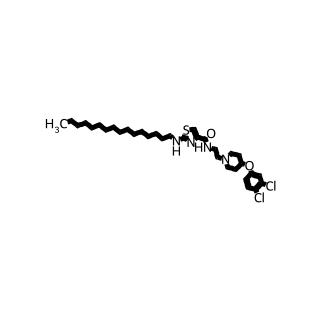 CCCCCCCCCCCCCCCCNc1nc(C(=O)NCCN2CCC(Oc3ccc(Cl)c(Cl)c3)CC2)cs1